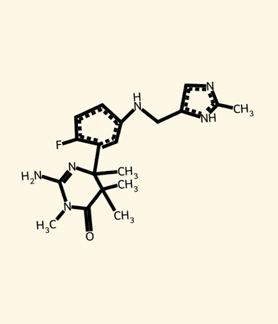 Cc1ncc(CNc2ccc(F)c(C3(C)N=C(N)N(C)C(=O)C3(C)C)c2)[nH]1